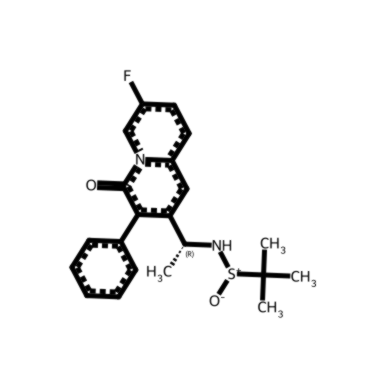 C[C@@H](N[S+]([O-])C(C)(C)C)c1cc2ccc(F)cn2c(=O)c1-c1ccccc1